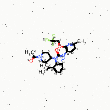 CC(=O)N1CCC(N(C(=O)Nc2ccc(C)nc2OCC(F)(F)F)c2ccccc2C(C)C)CC1